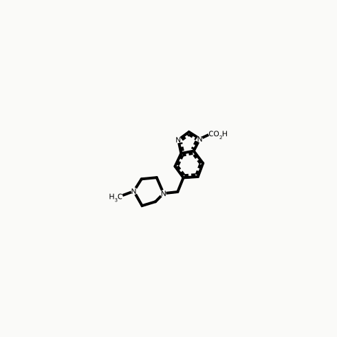 CN1CCN(Cc2ccc3c(c2)ncn3C(=O)O)CC1